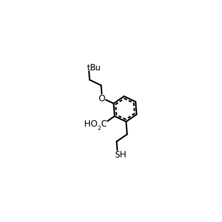 CC(C)(C)CCOc1cccc(CCS)c1C(=O)O